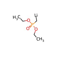 [Li][CH2]P(=O)(OCC)OCC